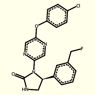 O=C1NC[C@H](c2cccc(CF)c2)N1c1cnc(Oc2ccc(Cl)cc2)cn1